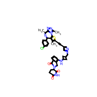 Cc1c(C#Cc2cnn(CC3CC(Nc4cccc5c4CN(C4CCC(=O)NC4=O)C5=O)C3)c2)sc2c1C(c1ccc(Cl)cc1)=N[C@@H](C)c1nnc(C)n1-2